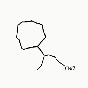 CC(CC=O)C1CCCCCC1